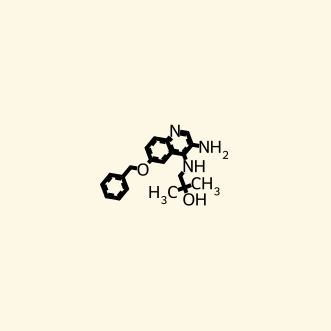 CC(C)(O)CNc1c(N)cnc2ccc(OCc3ccccc3)cc12